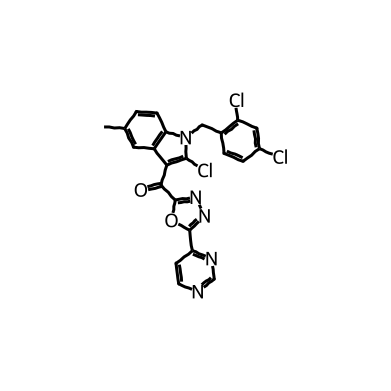 Cc1ccc2c(c1)c(C(=O)c1nnc(-c3ccncn3)o1)c(Cl)n2Cc1ccc(Cl)cc1Cl